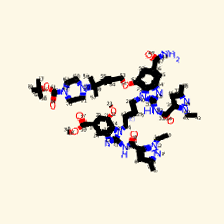 CCn1nc(C)cc1C(=O)Nc1nc2cc(C(=O)OC)cc(OC)c2n1C/C=C/Cn1c(NC(=O)c2cc(C)nn2CC)nc2cc(C(N)=O)cc(OCC#CC(C)(C)N3CCN(C(=O)OC(C)(C)C)CC3)c21